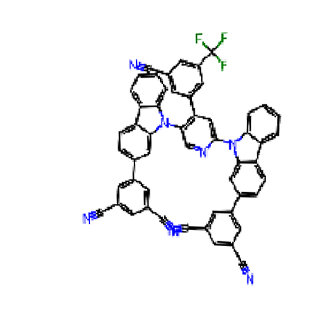 N#Cc1cc(C#N)cc(-c2ccc3c4ccccc4n(-c4cc(-c5cc(C#N)cc(C(F)(F)F)c5)c(-n5c6ccccc6c6ccc(-c7cc(C#N)cc(C#N)c7)cc65)cn4)c3c2)c1